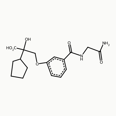 NC(=O)CNC(=O)c1cccc(OCC(O)(C(=O)O)C2CCCC2)c1